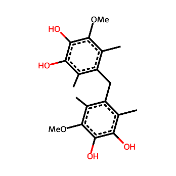 COc1c(C)c(Cc2c(C)c(O)c(O)c(OC)c2C)c(C)c(O)c1O